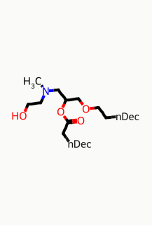 CCCCCCCCCCCCOCC(CN(C)CCO)OC(=O)CCCCCCCCCCC